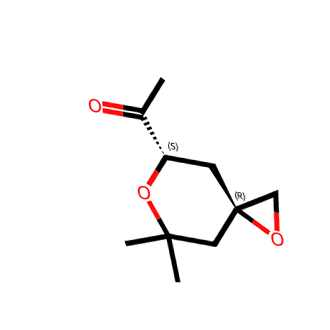 CC(=O)[C@@H]1C[C@]2(CO2)CC(C)(C)O1